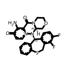 Nc1c2n(ccc1=O)N([C@@H]1c3ccccc3SCc3c1ccc(F)c3F)[C@@H]1COCCN1C2=O